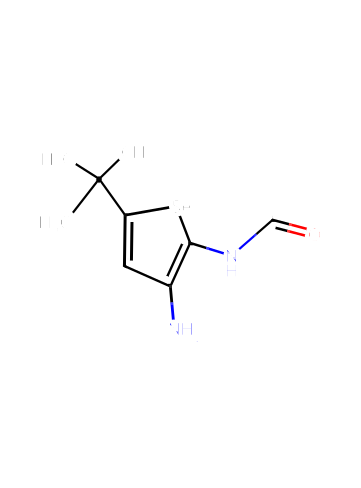 CC(C)(C)c1cc(N)c(N[C]=O)[se]1